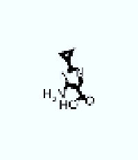 Nc1nc(C2CC2)ncc1C(=O)O